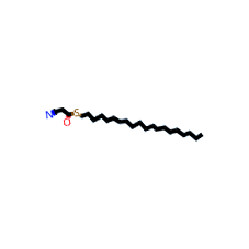 CCCCCCCCCCCCCCCCCCCCSC(=O)CC#N